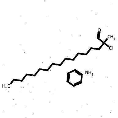 CCCCCCCCCCCCCCCC(C)(Cl)C=O.N.c1ccccc1